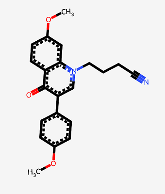 COc1ccc(-c2cn(CCCC#N)c3cc(OC)ccc3c2=O)cc1